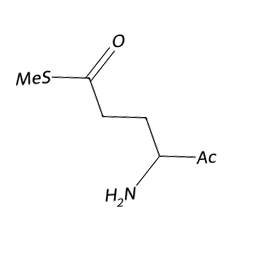 CSC(=O)CCC(N)C(C)=O